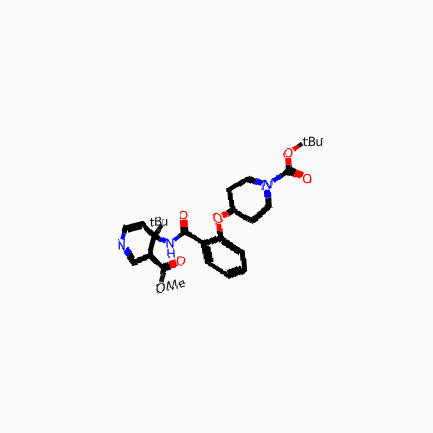 COC(=O)C1C=NC=CC1(NC(=O)c1ccccc1OC1CCN(C(=O)OC(C)(C)C)CC1)C(C)(C)C